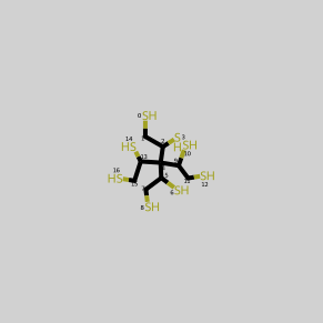 SCC(S)C(C(S)CS)(C(S)CS)C(S)CS